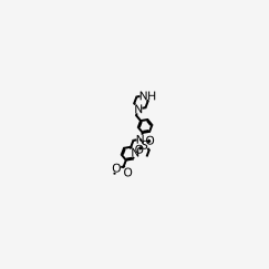 CCS(=O)(=O)N(Cc1ccc(C(=O)OC)cn1)c1cccc(CN2CCNCC2)c1